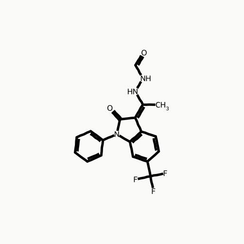 C/C(NNC=O)=C1/C(=O)N(c2ccccc2)c2cc(C(F)(F)F)ccc21